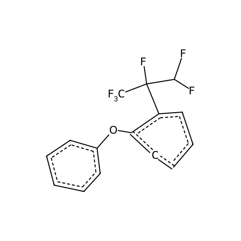 FC(F)C(F)(c1ccccc1Oc1ccccc1)C(F)(F)F